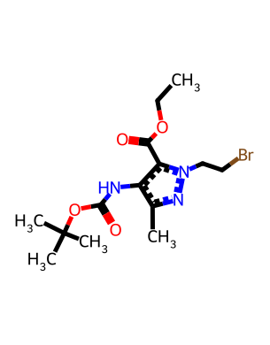 CCOC(=O)c1c(NC(=O)OC(C)(C)C)c(C)nn1CCBr